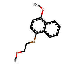 CCCCOc1ccc(SCCOCC)c2ccccc12